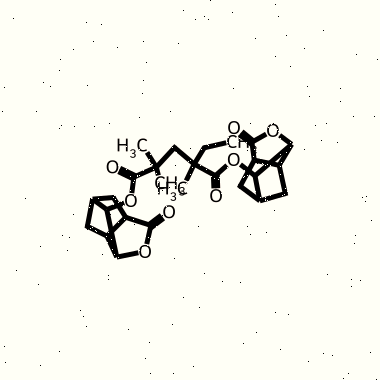 CCC(C)(CC(C)(C)C(=O)OC1C2CC3C(=O)OC1C3C2)C(=O)OC1C2CC3C(=O)OC1C3C2